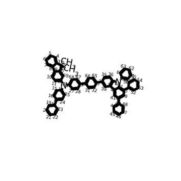 CC1(C)c2ccccc2-c2ccc(N(c3ccc(-c4ccccc4)cc3)c3ccc(-c4ccc(-c5ccc6c(c5)c5cc(-c7ccccc7)cc(-c7ccccc7)c5n6-c5ccccc5)cc4)cc3)cc21